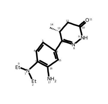 CCN(CC)c1ccc(C2=NNC(=O)C[C@H]2C)cc1N